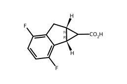 O=C(O)C1[C@H]2Cc3c(F)ccc(F)c3[C@@H]12